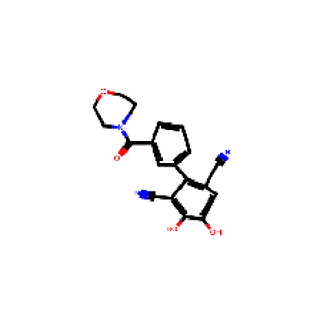 N#Cc1cc(O)c(O)c(C#N)c1-c1cccc(C(=O)N2CCOCC2)c1